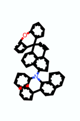 c1ccc(-c2ccc3ccccc3c2N(c2ccccc2)c2ccc3c4c(cccc24)C2(c4ccccc4Oc4ccccc42)c2ccccc2-3)cc1